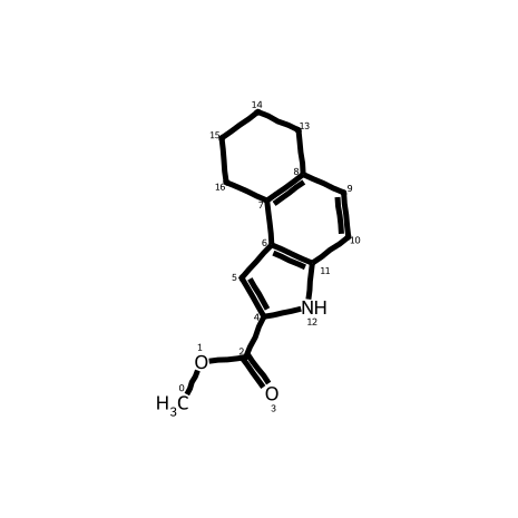 COC(=O)c1cc2c3c(ccc2[nH]1)CCCC3